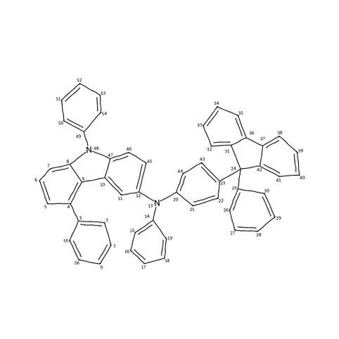 c1ccc(-c2cccc3c2c2cc(N(c4ccccc4)c4ccc(C5(c6ccccc6)c6ccccc6-c6ccccc65)cc4)ccc2n3-c2ccccc2)cc1